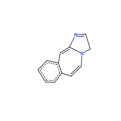 C1=CN2CC=NC2=Cc2ccccc21